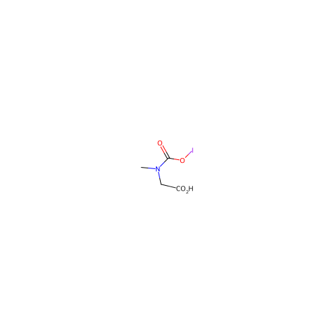 CN(CC(=O)O)C(=O)OI